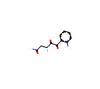 [NH][C@@H](CC(N)=O)C(=O)C(=O)c1ccccc1N